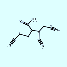 N#CCCC(C(N)=O)C(C#N)CC#N